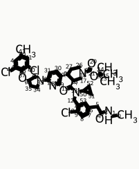 CCNC(=O)Cc1ccc(Cl)c(CN(C(=O)[C@@H]2CN(C(=O)OC(C)(C)C)CC[C@H]2c2ccc(N3CC[C@H](Oc4c(Cl)cc(C)cc4Cl)C3)nc2)C2CC2)c1